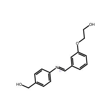 OCCOc1cccc(/C=N/c2ccc(CO)cc2)c1